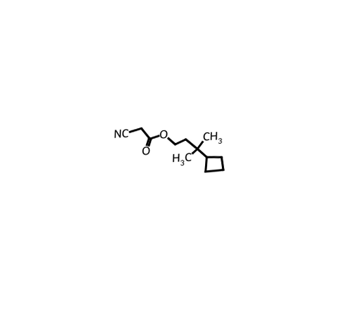 CC(C)(CCOC(=O)CC#N)C1CCC1